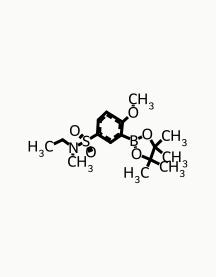 CCN(C)S(=O)(=O)c1ccc(OC)c(B2OC(C)(C)C(C)(C)O2)c1